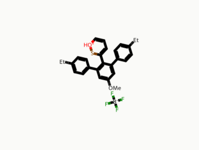 CCc1ccc(-c2cc(OC)cc(-c3ccc(CC)cc3)c2C2=CC=C[OH+]S2)cc1.F[B-](F)(F)F